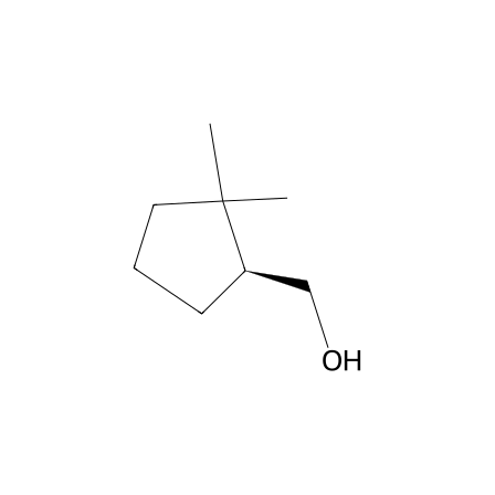 CC1(C)CCC[C@@H]1CO